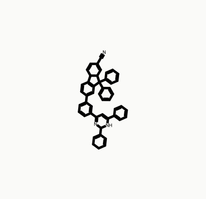 N#CC1=CC2C(C=C1)c1ccc(-c3cccc(C4=NC(C5=CCCC=C5)NC(c5ccccc5)=C4)c3)cc1C2(c1ccccc1)c1ccccc1